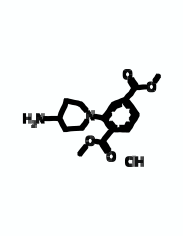 COC(=O)c1ccc(C(=O)OC)c(N2CCC(N)CC2)c1.Cl